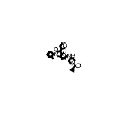 Cc1ccccc1N1Cc2ccc(NC3CCN(C(=O)C4CC4)CC3)nc2C(C2CCOC2)C1=O